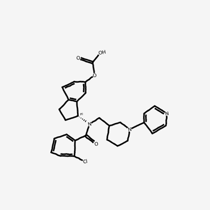 O=C(O)Oc1ccc2c(c1)[C@H](N(CC1CCCN(c3ccncc3)C1)C(=O)c1ccccc1Cl)CC2